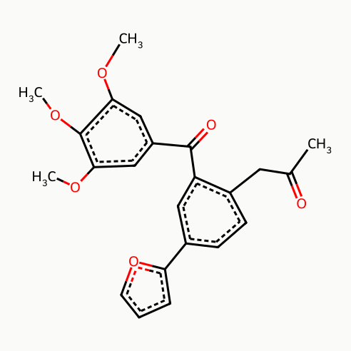 COc1cc(C(=O)c2cc(-c3ccco3)ccc2CC(C)=O)cc(OC)c1OC